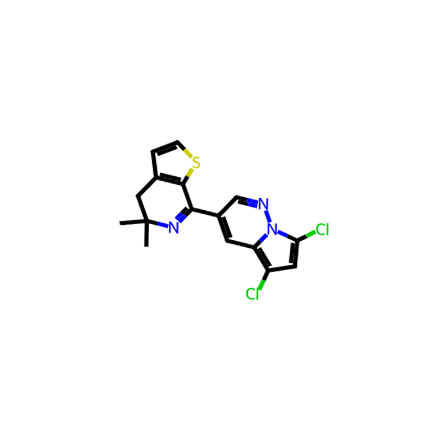 CC1(C)Cc2ccsc2C(c2cnn3c(Cl)cc(Cl)c3c2)=N1